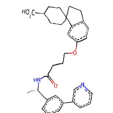 C[C@H](NC(=O)CCCOc1ccc2c(c1)C1(CC2)CCC(C(=O)O)CC1)c1cccc(-c2cccnc2)c1